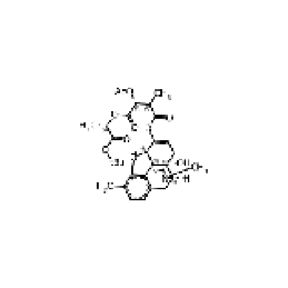 CC(=O)O[C@@H](C(=O)O[C@@H](C)C(=O)OC(C)(C)C)[C@@H](C)C(=O)OC1=CC[C@@]2(O)[C@H]3Cc4ccc(C)c5c4[C@@]2(CCN3C)[C@H]1O5